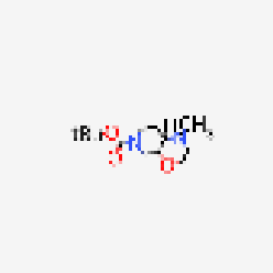 CN1CCOC2CN(C(=O)OC(C)(C)C)CC[C@@H]21